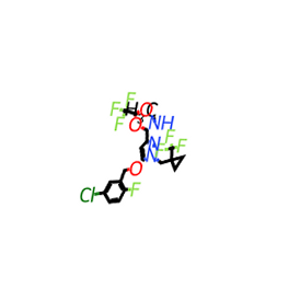 CNC(OC(=O)C(F)(F)F)c1cc(OCc2cc(Cl)ccc2F)n(CC2(C(F)(F)F)CC2)n1